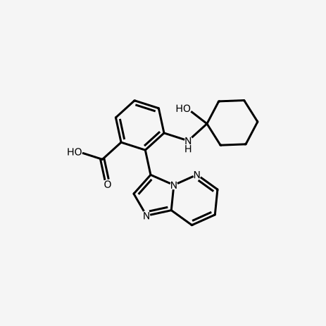 O=C(O)c1cccc(NC2(O)CCCCC2)c1-c1cnc2cccnn12